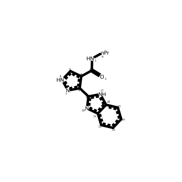 CCCNC(=O)c1c[nH]nc1-c1nc2ccccc2[nH]1